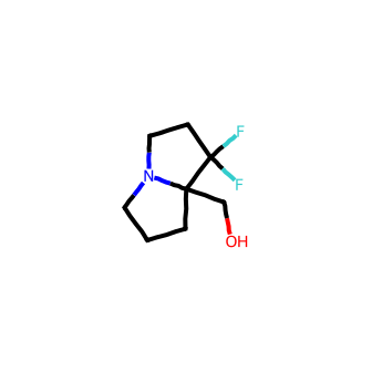 OCC12CCCN1CCC2(F)F